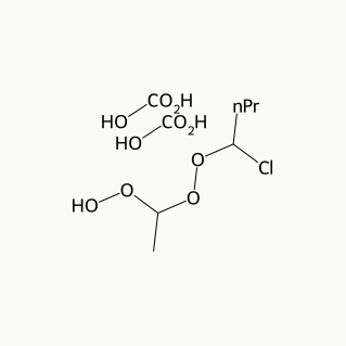 CCCC(Cl)OOC(C)OO.O=C(O)O.O=C(O)O